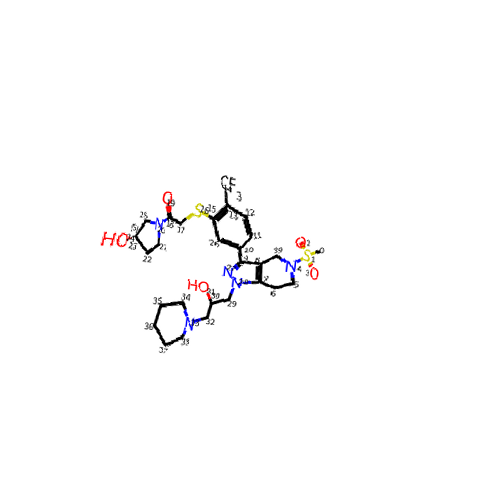 CS(=O)(=O)N1CCc2c(c(-c3ccc(C(F)(F)F)c(SCC(=O)N4CC[C@H](O)C4)c3)nn2CC(O)CN2CCCCC2)C1